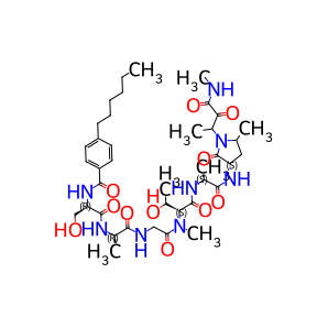 CCCCCCc1ccc(C(=O)N[C@H](CO)C(=O)N[C@H](C)C(=O)NCC(=O)N(C)[C@H](C(=O)N[C@@H](C)C(=O)N[C@H]2CC(C)N(C(C)C(=O)C(=O)NC)C2=O)C(C)O)cc1